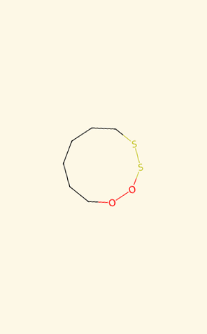 C1CCCSSOOCC1